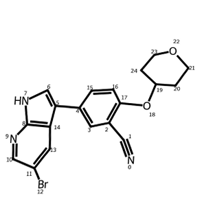 N#Cc1cc(-c2c[nH]c3ncc(Br)cc23)ccc1OC1CCOCC1